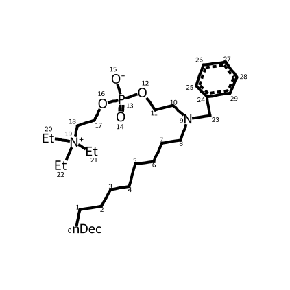 CCCCCCCCCCCCCCCCCCN(CCOP(=O)([O-])OCC[N+](CC)(CC)CC)Cc1ccccc1